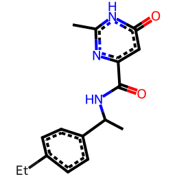 CCc1ccc(C(C)NC(=O)c2cc(=O)[nH]c(C)n2)cc1